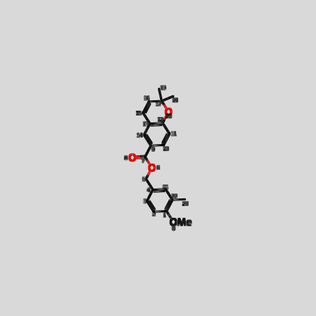 COc1ccc(COC(=O)c2ccc3c(c2)C=CC(C)(C)O3)cc1C